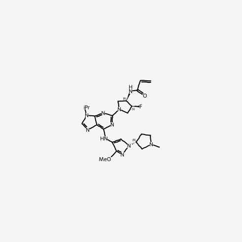 C=CC(=O)N[C@@H]1CN(c2nc(Nc3cn([C@@H]4CCN(C)C4)nc3OC)c3ncn(C(C)C)c3n2)C[C@@H]1F